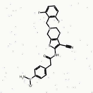 N#Cc1c(NC(=O)Cc2ccc([S+](N)[O-])cc2)sc2c1CCN(Cc1c(F)cccc1F)C2